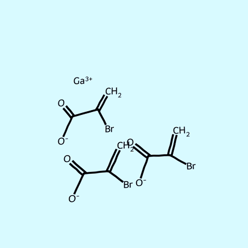 C=C(Br)C(=O)[O-].C=C(Br)C(=O)[O-].C=C(Br)C(=O)[O-].[Ga+3]